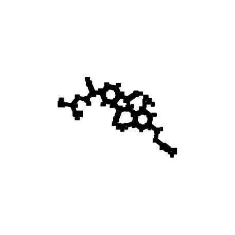 C#CCOc1cc(C)c(N2C(=O)c3ccc(C(=O)OCC(O)CC)cc3C2=O)c(C)c1